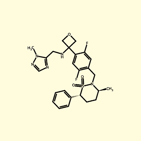 C[C@H]1CC[C@H](c2ccccc2)S(=O)(=O)N1Cc1cc(F)c(C2(NCc3ncnn3C)COC2)cc1F